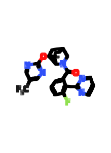 O=C(c1cccc(F)c1-c1ncccn1)N1CC2CCC1C(Oc1ncc(C(F)(F)F)cn1)C2